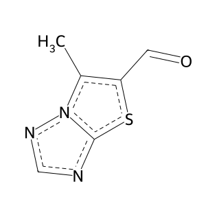 Cc1c(C=O)sc2ncnn12